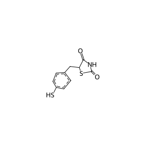 O=C1NC(=O)C(Cc2ccc(S)cc2)S1